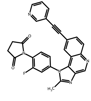 Cc1nc2cnc3ccc(C#Cc4cccnc4)cc3c2n1-c1ccc(N2C(=O)CCC2=O)c(F)c1